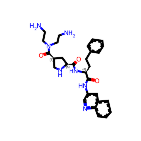 NCCN(CCN)C(=O)[C@@H]1CN[C@H](C(=O)N[C@@H](CCc2ccccc2)C(=O)Nc2cnc3ccccc3c2)C1